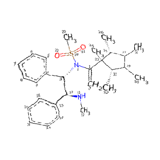 C=C(N([C@@H](c1ccccc1)[C@@H](NC)c1ccccc1)S(C)(=O)=O)C1(C)[C@H](C)C(C)C(C)[C@@H]1C